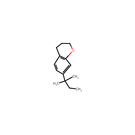 CCC(C)(C)c1ccc2c(c1)OCCC2